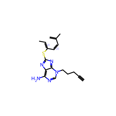 C#CCCCn1cnc(N)c2nc(SC(/C=C\C(=C)C)=C\C)nc1-2